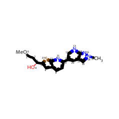 COCC[C@@H](O)c1cc2ccc(-c3cnc4nn(C)cc4c3)nc2s1